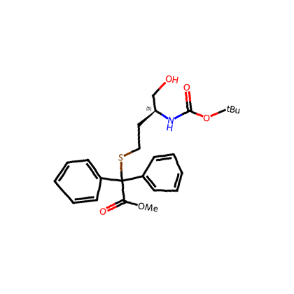 COC(=O)C(SCC[C@@H](CO)NC(=O)OC(C)(C)C)(c1ccccc1)c1ccccc1